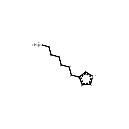 CCCCCCCCCCCCCc1ccsc1